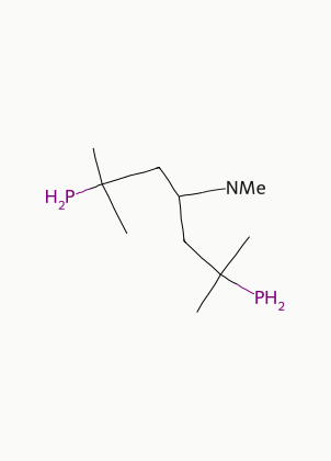 CNC(CC(C)(C)P)CC(C)(C)P